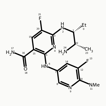 CC[C@@H](Nc1nc(Nc2cnc(NC)c(F)c2)c(C(N)=O)cc1F)[C@H](C)N